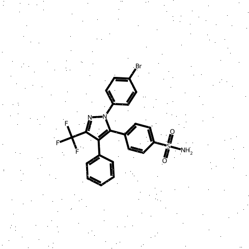 NS(=O)(=O)c1ccc(-c2c(-c3ccccc3)c(C(F)(F)F)nn2-c2ccc(Br)cc2)cc1